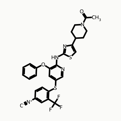 [C-]#[N+]c1ccc(Sc2cnc(Nc3nc(C4CCN(C(C)=O)CC4)cs3)c(Oc3ccccc3)c2)c(C(F)(F)F)c1